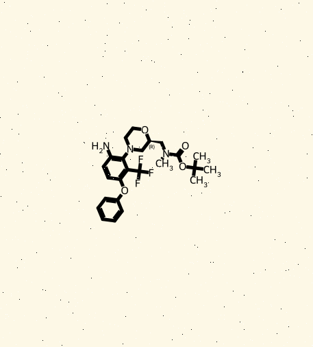 CN(C[C@H]1CN(c2c(N)ccc(Oc3ccccc3)c2C(F)(F)F)CCO1)C(=O)OC(C)(C)C